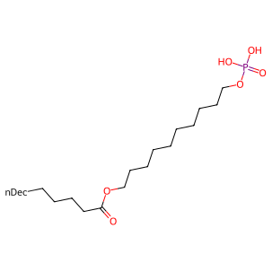 CCCCCCCCCCCCCCC(=O)OCCCCCCCCCCOP(=O)(O)O